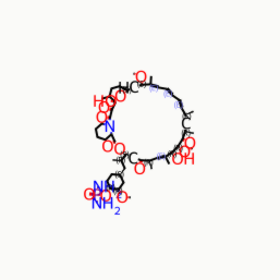 CO[C@H]1C[C@@H]2CCC(C)C(O)(O2)C(=O)C(=O)N2CCCCC2C(=O)O[C@H]([C@H](C)C[C@@H]2CC[C@@H](OP(N)(N)=O)[C@H](OC)C2)CC(=O)[C@H](C)/C=C(\C)[C@@H](O)[C@@H](OC)C(=O)[C@H](C)C[C@H](C)/C=C/C=C/C=C/1C